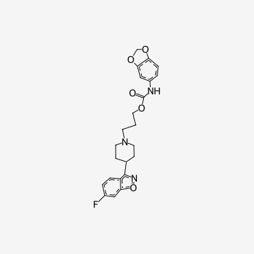 O=C(Nc1ccc2c(c1)OCO2)OCCCN1CCC(c2noc3cc(F)ccc23)CC1